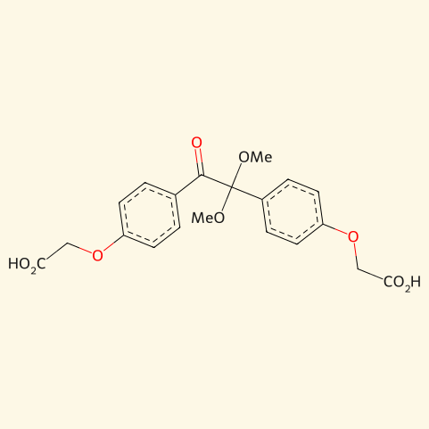 COC(OC)(C(=O)c1ccc(OCC(=O)O)cc1)c1ccc(OCC(=O)O)cc1